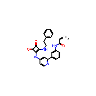 C=CC(=O)Nc1cccc(-c2cc(Nc3c(NCCc4ccccc4)c(=O)c3=O)ccn2)c1